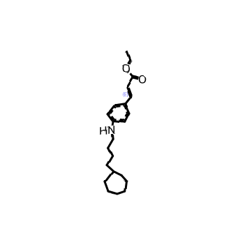 CCOC(=O)/C=C/c1ccc(NCCCCC2CCCCCC2)cc1